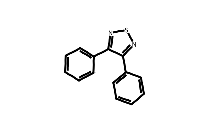 [c]1ccccc1-c1nsnc1-c1ccccc1